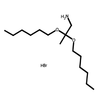 Br.CCCCCCOC(C)(CN)OCCCCCC